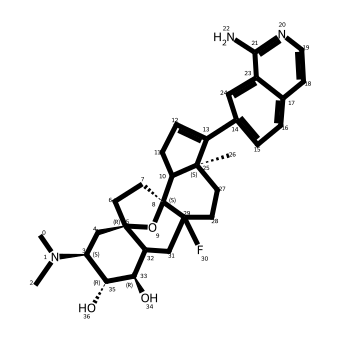 CN(C)[C@H]1C[C@@]23CC[C@]4(O2)C2CC=C(c5ccc6ccnc(N)c6c5)[C@@]2(C)CCC4(F)CC3[C@@H](O)[C@@H]1O